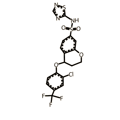 O=S(=O)(Nc1ncns1)c1ccc2c(c1)OCCC2Oc1ccc(C(F)(F)F)cc1Cl